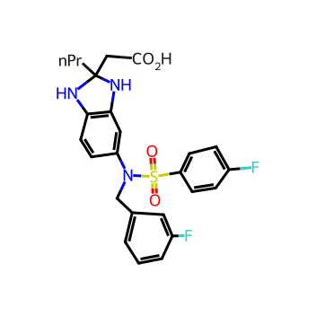 CCCC1(CC(=O)O)Nc2ccc(N(Cc3cccc(F)c3)S(=O)(=O)c3ccc(F)cc3)cc2N1